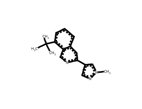 Cn1cc(-c2cc3cccc(C(C)(C)C)c3cn2)cn1